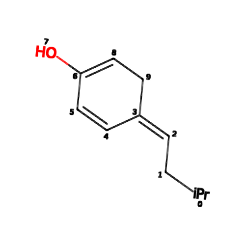 CC(C)CC=C1C=CC(O)=CC1